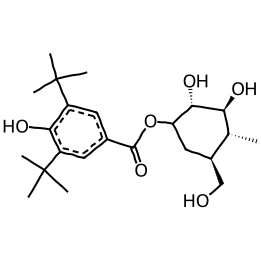 C[C@@H]1[C@@H](CO)CC(OC(=O)c2cc(C(C)(C)C)c(O)c(C(C)(C)C)c2)[C@H](O)[C@H]1O